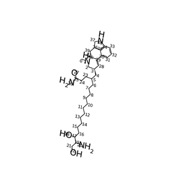 CN1C[C@H](CC(CCCCCCCCCCCC(O)C(N)CO)CCC(N)=O)C=C2c3cccc4c3C(CN4)C[C@H]21